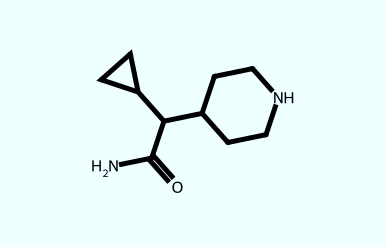 NC(=O)C(C1CCNCC1)C1CC1